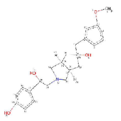 COc1cccc(C[C@@]2(O)C[C@H]3CN(CC(O)c4ccc(O)cc4)C[C@H]3C2)c1